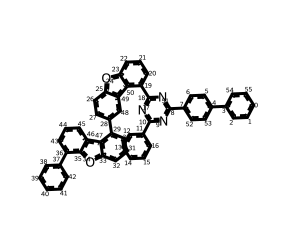 c1ccc(-c2ccc(-c3nc(-c4ccccc4)nc(-c4cccc5oc6ccc(-c7cccc8oc9c(-c%10ccccc%10)cccc9c78)cc6c45)n3)cc2)cc1